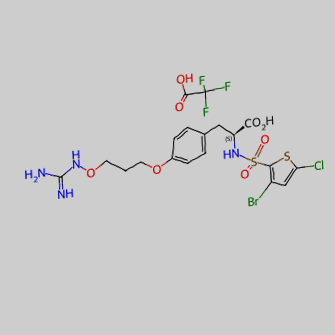 N=C(N)NOCCCOc1ccc(C[C@H](NS(=O)(=O)c2sc(Cl)cc2Br)C(=O)O)cc1.O=C(O)C(F)(F)F